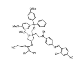 CCN(CC[C@@]1(COC(c2ccccc2)(c2ccc(OC)cc2)c2ccc(OC)cc2)C[C@@H](OP(OCCC#N)N(C(C)C)C(C)C)CN1C(=O)O)c1ccc(N=Nc2ccc([N+](=O)[O-])cc2Cl)cc1